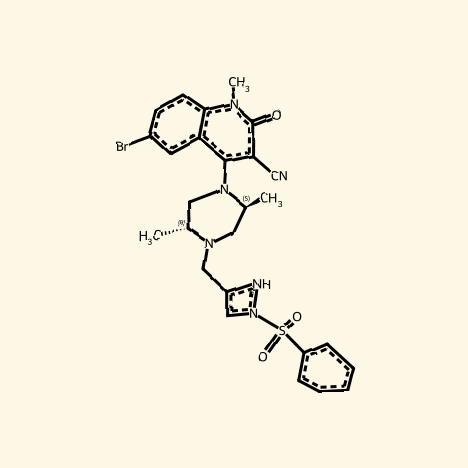 C[C@@H]1CN(c2c(C#N)c(=O)n(C)c3ccc(Br)cc23)[C@@H](C)CN1Cc1cn(S(=O)(=O)c2ccccc2)[nH]1